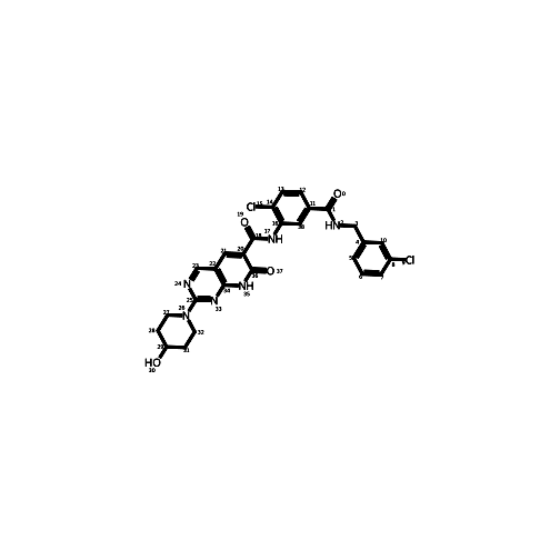 O=C(NCc1cccc(Cl)c1)c1ccc(Cl)c(NC(=O)c2cc3cnc(N4CCC(O)CC4)nc3[nH]c2=O)c1